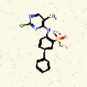 Cc1cnc(Cl)nc1Nc1ccc(-c2ccccc2)cc1P(C)(C)=O